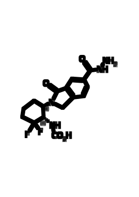 NNC(=O)c1ccc2c(c1)C(=O)N([C@@H]1CCCC(F)(F)[C@H]1NC(=O)O)C2